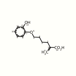 C=C(CCCCOc1ccccc1O)C(=O)O